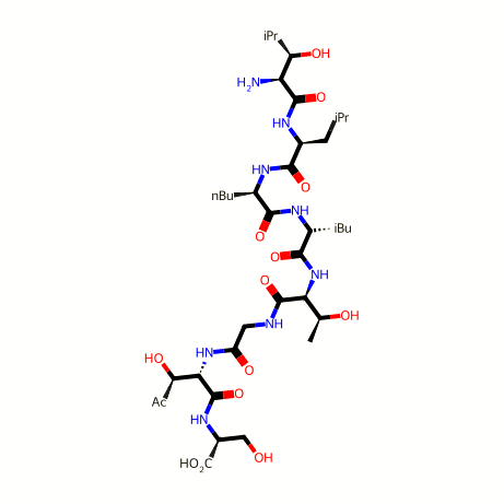 CCCC[C@@H](NC(=O)[C@H](CC(C)C)NC(=O)[C@@H](N)[C@H](O)C(C)C)C(=O)NC(C(=O)N[C@H](C(=O)NCC(=O)N[C@H](C(=O)N[C@@H](CO)C(=O)O)[C@H](O)C(C)=O)[C@H](C)O)[C@@H](C)CC